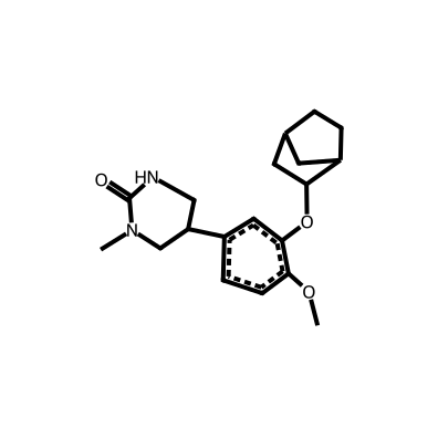 COc1ccc(C2CNC(=O)N(C)C2)cc1OC1CC2CCC1C2